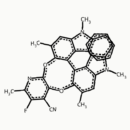 Cc1nc2oc3c(C)cc4c(c5ccccc5n4C)c3c3c(oc2c(C#N)c1F)c(C)cc1c3c2ccccc2n1C